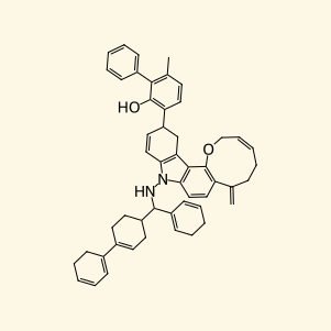 C=C1CC/C=C\COc2c1ccc1c2c2c(n1NC(C1=CCCC=C1)C1CC=C(C3=CC=CCC3)CC1)C=CC(c1ccc(C)c(-c3ccccc3)c1O)C2